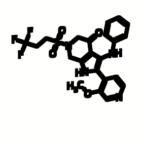 COc1cnccc1-c1[nH]c2c(c1Nc1ccccc1)C(=O)CN(S(=O)(=O)CCC(F)(F)F)C2